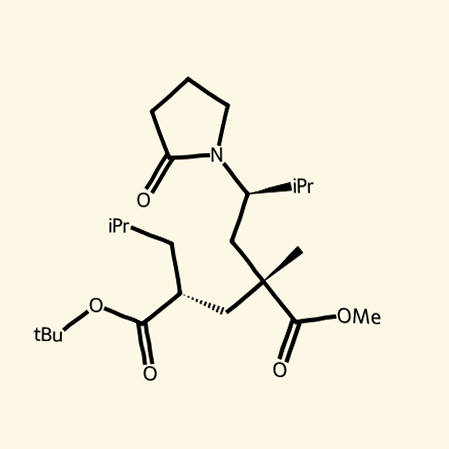 COC(=O)[C@](C)(C[C@@H](CC(C)C)C(=O)OC(C)(C)C)C[C@H](C(C)C)N1CCCC1=O